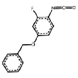 O=C=Nc1ccc(OCc2ccccc2)cc1F